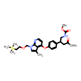 COC(=O)CC(CNC(=O)OC(C)(C)C)c1ccc(Oc2ccnc3c2c(C)cn3COCCS(C)(C)C)cc1